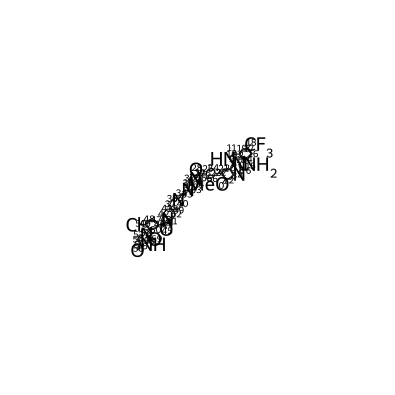 COc1cc2nc(C)nc(N[C@H](C)c3cc(N)cc(C(F)(F)F)c3)c2cc1C1CCC(C(=O)N2CCN(CCN3CCC4(CC3)CCN(C(=O)c3ccc(Cl)c(-n5ccc(=O)[nH]c5=O)c3)CC4)CC2)CC1